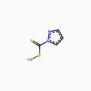 S=C(SS)n1cccn1